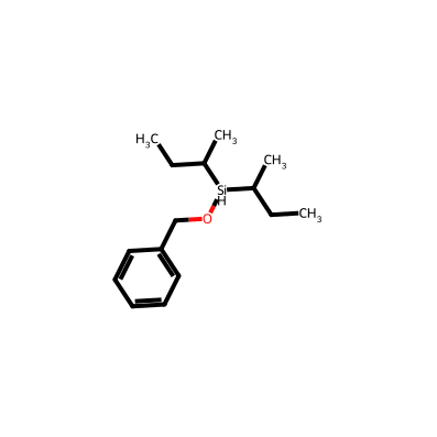 CCC(C)[SiH](OCc1ccccc1)C(C)CC